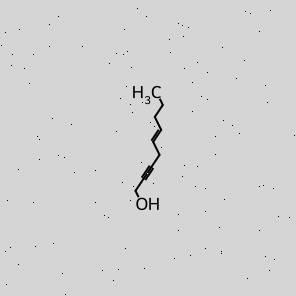 CCCC=CCC#CCO